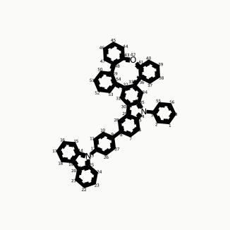 c1ccc(-n2c3ccc(-c4ccc(-n5c6ccccc6c6ccccc65)cc4)cc3c3cc4c(cc32)c2ccccc2oc2ccccc2c2ccccc24)cc1